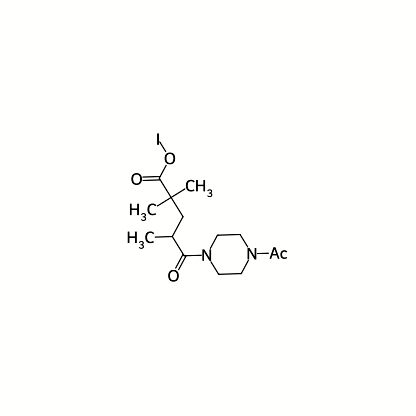 CC(=O)N1CCN(C(=O)C(C)CC(C)(C)C(=O)OI)CC1